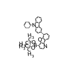 CC1(C)OB(c2ccnc3c2oc2c(-c4ccc5c(c4)c4ccccc4n5C4=CC=CCC4)cccc23)OC1(C)C